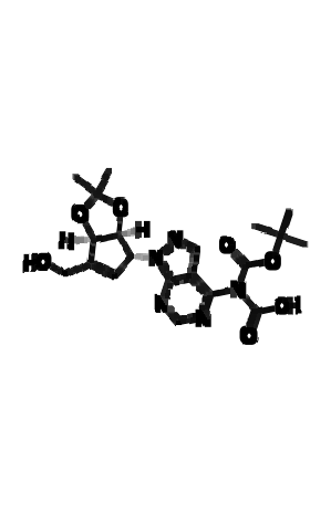 CC(C)(C)OC(=O)N(C(=O)O)c1ncnc2c1cnn2[C@@H]1C=C(CO)[C@H]2OC(C)(C)O[C@H]21